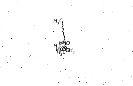 CCCCCCCCCCCCNC(=O)C(CC(C)(C)C)C(C)C